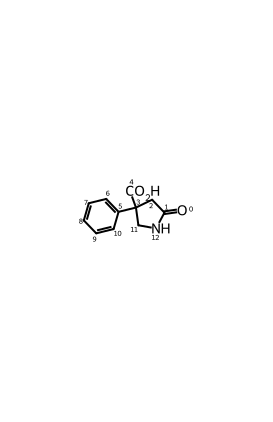 O=C1CC(C(=O)O)(c2ccccc2)CN1